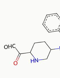 CN(Cc1ccccc1)C1CCC(C(=O)C=O)NC1